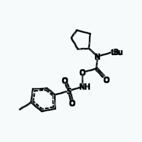 Cc1ccc(S(=O)(=O)NOC(=O)N(C2CCCC2)C(C)(C)C)cc1